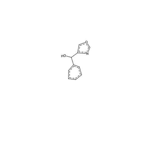 OC(c1ccccc1)c1cocn1